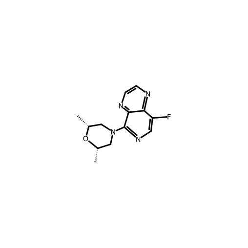 C[C@@H]1CN(c2ncc(F)c3nccnc23)C[C@H](C)O1